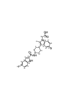 Cc1c(C2CCC(NC(=O)c3cc4cc(F)ccc4[nH]3)CC2)c2cc(F)ccc2n1CC(=O)O